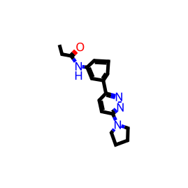 CCC(=O)Nc1cccc(-c2ccc(N3CCCC3)nn2)c1